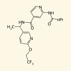 CCCC(=O)Nc1cc(C(=O)NC(C)c2ccc(OCC(F)(F)F)nc2)ccn1